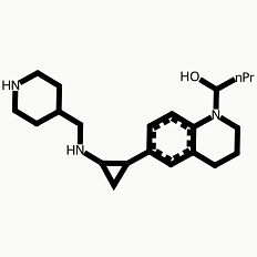 CCCC(O)N1CCCc2cc(C3CC3NCC3CCNCC3)ccc21